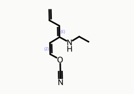 C=C/C=C(\C=C/OC#N)NCC